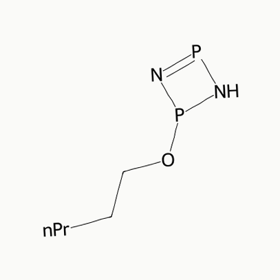 CCCCCOp1np[nH]1